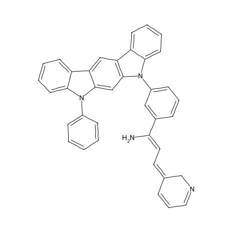 N/C(=C\C=C1\C=CC=NC1)c1cccc(-n2c3ccccc3c3cc4c5ccccc5n(-c5ccccc5)c4cc32)c1